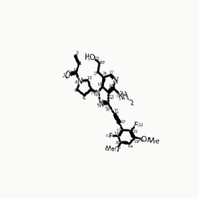 C=CC(=O)N1CCC(n2nc(C#Cc3c(F)c(OC)cc(OC)c3F)c3c(N)ncc(CCO)c32)C1